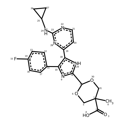 CC1(C(=O)O)COC(c2nc(-c3ccc(F)cc3)c(-c3ccnc(NC4CC4)n3)[nH]2)OC1